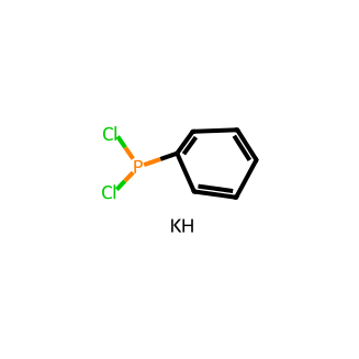 ClP(Cl)c1ccccc1.[KH]